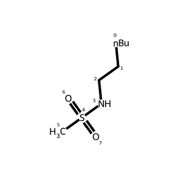 [CH2]CCCCCNS(C)(=O)=O